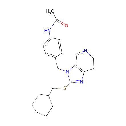 CC(=O)Nc1ccc(Cn2c(SCC3CCCCC3)nc3ccncc32)cc1